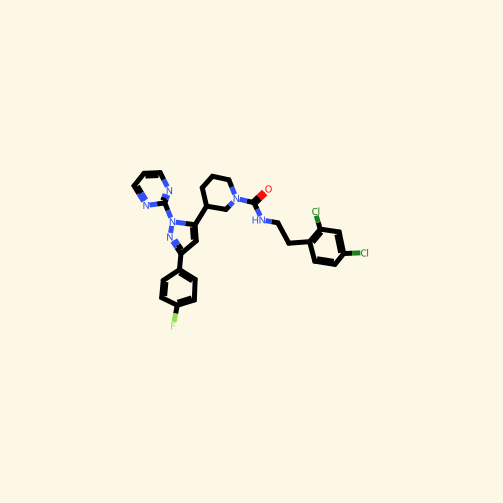 O=C(NCCc1ccc(Cl)cc1Cl)N1CCCC(c2cc(-c3ccc(F)cc3)nn2-c2ncccn2)C1